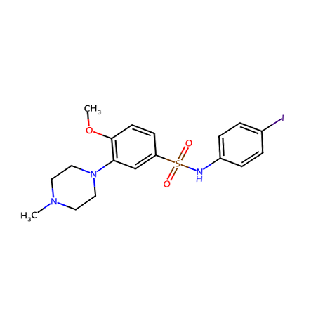 COc1ccc(S(=O)(=O)Nc2ccc(I)cc2)cc1N1CCN(C)CC1